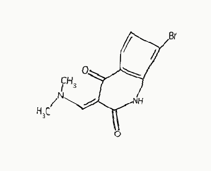 CN(C)C=C1C(=O)Nc2cc(Br)ccc2C1=O